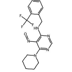 O=Nc1c(NCc2ccccc2C(F)(F)F)ncnc1N1CCCCC1